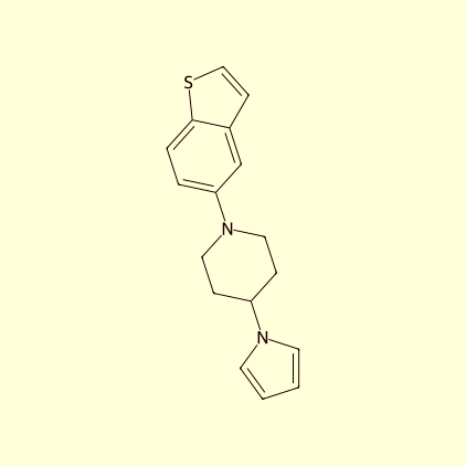 c1ccn(C2CCN(c3ccc4sccc4c3)CC2)c1